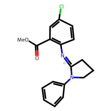 COC(=O)c1cc(Cl)ccc1/N=C1\CCCN1c1ccccc1